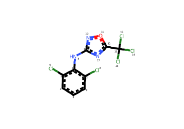 Clc1cccc(Cl)c1Nc1noc(C(Cl)(Cl)Cl)n1